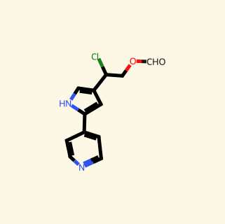 O=COCC(Cl)c1c[nH]c(-c2ccncc2)c1